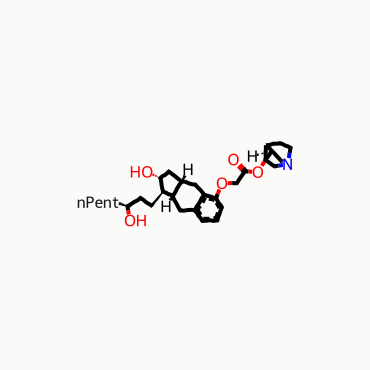 CCCCC[C@H](O)CC[C@@H]1[C@H]2Cc3cccc(OCC(=O)O[C@@H]4CN5CCC4CC5)c3C[C@H]2C[C@H]1O